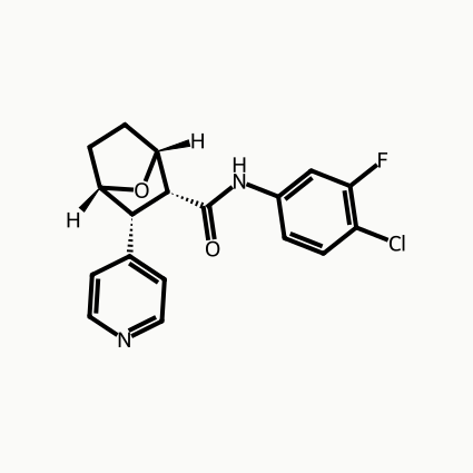 O=C(Nc1ccc(Cl)c(F)c1)[C@@H]1[C@H](c2ccncc2)[C@@H]2CC[C@H]1O2